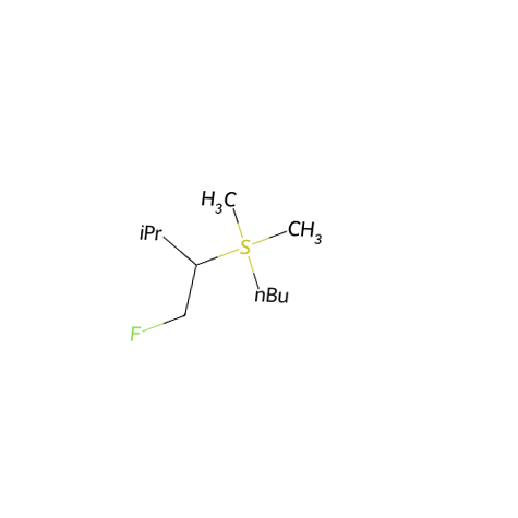 CCCCS(C)(C)C(CF)C(C)C